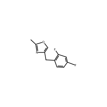 Cc1nc(Cc2ccc(F)cc2F)co1